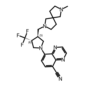 CN1CCC2(CCN(C[C@H]3CN(c4ccc(C#N)c5nccnc45)C[C@@H]3C(F)(F)F)C2)C1